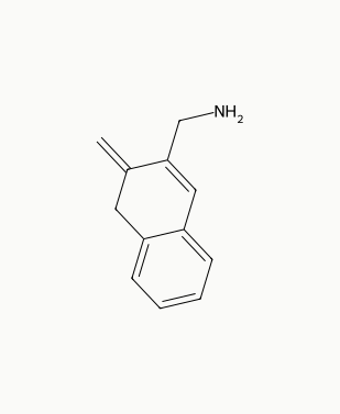 C=C1Cc2ccccc2C=C1CN